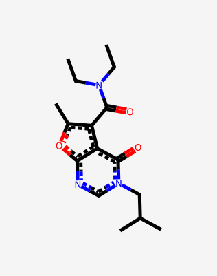 CCN(CC)C(=O)c1c(C)oc2ncn(CC(C)C)c(=O)c12